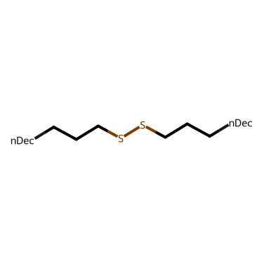 CCCCCCCCCCCCCSSCCCCCCCCCCCCC